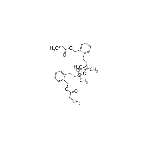 C=CC(=O)OCc1ccccc1CC[Si](C)(C)O[Si](C)(C)CCc1ccccc1COC(=O)C=C